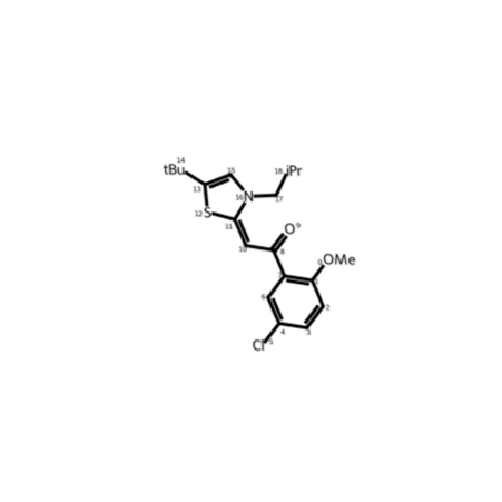 COc1ccc(Cl)cc1C(=O)C=C1SC(C(C)(C)C)=CN1CC(C)C